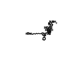 CCCCCCCCCCCCCCCCCCOC[C@H](COP(=O)(O)OC1[C@H]2O[C@@](C)(c3ccc4c(N)ncnn34)[C@H](O)[C@@]12O)OC(C)c1ccccc1